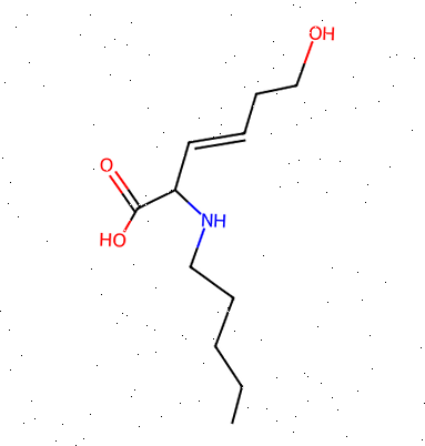 CCCCCNC(/C=C/CCO)C(=O)O